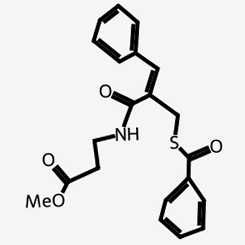 COC(=O)CCNC(=O)/C(=C\c1ccccc1)CSC(=O)c1ccccc1